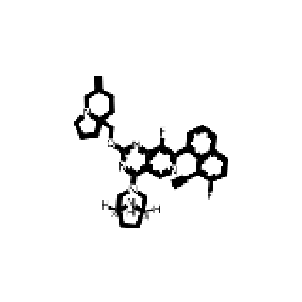 C#Cc1c(F)ccc2cccc(-c3ncc4c(N5C[C@H]6CC[C@@H](C5)N6)nc(OCC56CCCN5CC(=C)CC6)nc4c3F)c12